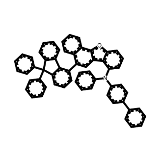 c1ccc(-c2ccc(N(c3ccccc3)c3cccc4oc5c6ccccc6c(-c6cccc7c6-c6ccccc6C7(c6ccccc6)c6ccccc6)cc5c34)cc2)cc1